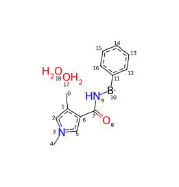 Cc1cn(C)cc1C(=O)N[B]c1ccccc1.O.O